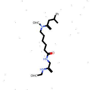 C=C(CNC(=O)CCCCCN(C=O)C(=C)CC(C)C(C)C)NCC=O